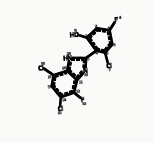 Oc1cc(F)cc(Cl)c1-c1nc2c(F)c(Cl)cc(Cl)c2[nH]1